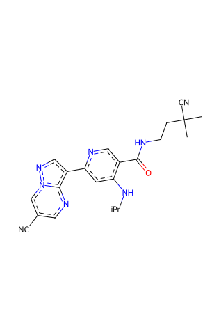 CC(C)Nc1cc(-c2cnn3cc(C#N)cnc23)ncc1C(=O)NCCC(C)(C)C#N